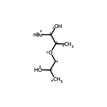 CCCCC(O)C(C)OCC(C)O